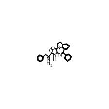 N[C@@H](Cc1ccccc1)C(=O)N[C@@H]1N=C(c2ccccc2)c2cccc3c2N(CC3)C1=O